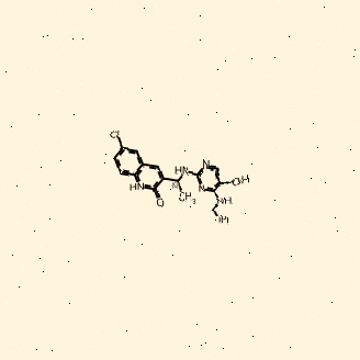 CC(C)CNc1nc(N[C@@H](C)c2cc3cc(Cl)ccc3[nH]c2=O)ncc1O